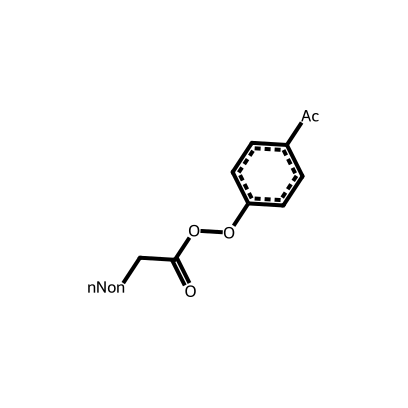 CCCCCCCCCCC(=O)OOc1ccc(C(C)=O)cc1